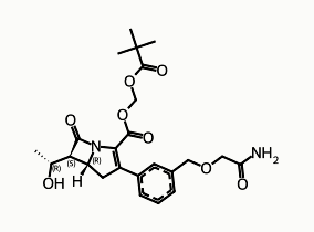 C[C@@H](O)[C@H]1C(=O)N2C(C(=O)OCOC(=O)C(C)(C)C)=C(c3cccc(COCC(N)=O)c3)C[C@H]12